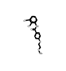 CCCOCCOc1ccc(C(=O)Nc2cccc(Cl)c2Cl)cc1